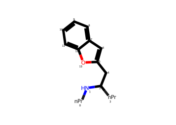 CCCNC(CCC)Cc1cc2ccccc2o1